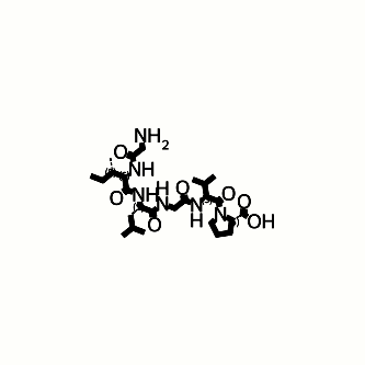 CC[C@H](C)[C@H](NC(=O)CN)C(=O)N[C@@H](CC(C)C)C(=O)NCC(=O)N[C@H](C(=O)N1CCC[C@H]1C(=O)O)C(C)C